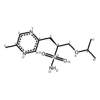 Cc1cnc(C[C@@H](COC(C)C)S(N)(=O)=O)cn1